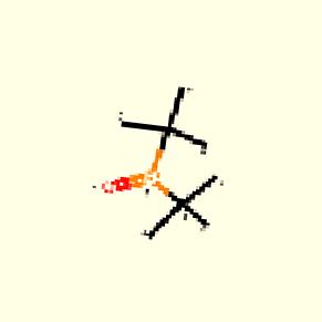 CC(C)(C)[P+](=O)C(C)(C)C